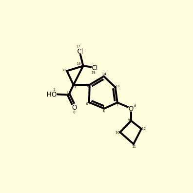 O=C(O)C1(c2ccc(OC3CCC3)cc2)CC1(Cl)Cl